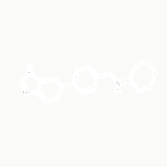 c1nc2ccc(-c3ccc(CNC4CCCCC4)cc3)cc2[nH]1